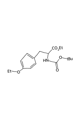 CCOC(=O)C(Cc1ccc(OCC)cc1)NC(=O)OC(C)(C)C